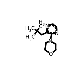 CC(C)(C)Cc1nccnc1N1CCOCC1